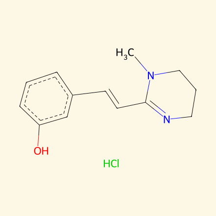 CN1CCCN=C1C=Cc1cccc(O)c1.Cl